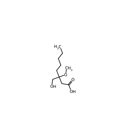 CCCCCC(CO)(CC(=O)O)OC